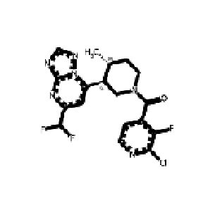 C[C@@H]1CCN(C(=O)c2ccnc(Cl)c2F)C[C@H]1c1cc(C(F)F)nc2ncnn12